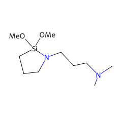 CO[Si]1(OC)CCCN1CCCN(C)C